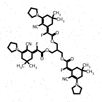 CC1(C)CC(N2CCCC2)=C(C#N)/C(=C(\F)C(=O)OCC(COC(=O)/C(F)=C2\CC(C)(C)CC(N3CCCC3)=C2C#N)COC(=O)/C(F)=C2\CC(C)(C)CC(N3CCCC3)=C2C#N)C1